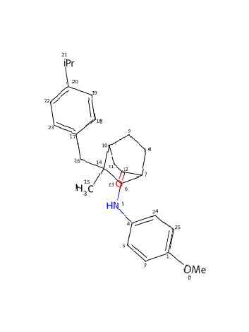 COc1ccc(NC2C3CCC(CC3=O)C2(C)Cc2ccc(C(C)C)cc2)cc1